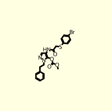 COC(=O)Oc1c(NC(=O)CSc2ccc(Br)cc2)cnn1CCc1ccccc1